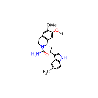 CCOc1cc2c(cc1OC)CCN(C(N)=O)[C@H]2CCc1c[nH]c2ccc(C(F)(F)F)cc12